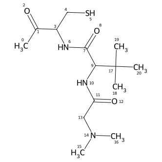 CC(=O)C(CS)NC(=O)C(NC(=O)CN(C)C)C(C)(C)C